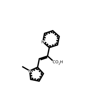 Cn1cccc1/C=C(\C(=O)O)c1ccccn1